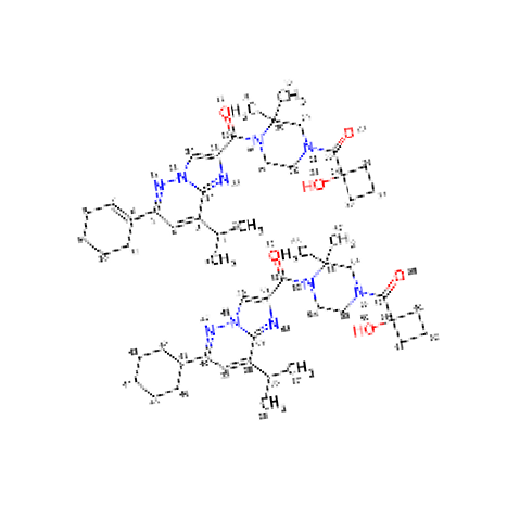 CC(C)c1cc(C2=CCCCC2)nn2cc(C(=O)N3CCN(C(=O)C4(O)CCC4)CC3(C)C)nc12.CC(C)c1cc(C2CCCCC2)nn2cc(C(=O)N3CCN(C(=O)C4(O)CCC4)CC3(C)C)nc12